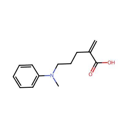 C=C(CCCN(C)c1ccccc1)C(=O)O